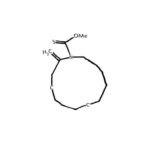 C=C1CCCCCCCCCCCN1C(=S)OC